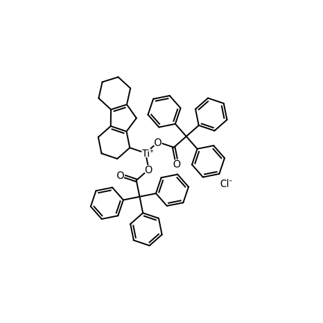 O=C([O][Ti+]([O]C(=O)C(c1ccccc1)(c1ccccc1)c1ccccc1)[CH]1CCCC2=C1CC1=C2CCCC1)C(c1ccccc1)(c1ccccc1)c1ccccc1.[Cl-]